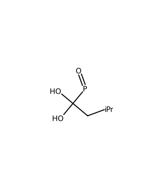 CC(C)CC(O)(O)P=O